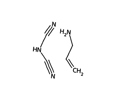 C=CCN.N#CNC#N